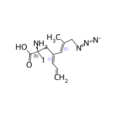 C=C/C=C(\C=C(/C)CN=[N+]=[N-])C[C@](N)(I)C(=O)O